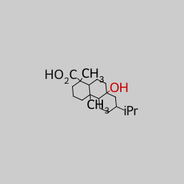 CC(C)C1CCC2C(O)(CCC3C(C)(C(=O)O)CCCC23C)C1